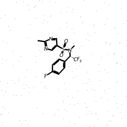 Cc1ncc(S(=O)(=O)N(C)[C@@H](c2ccc(F)cc2)C(F)(F)F)cn1